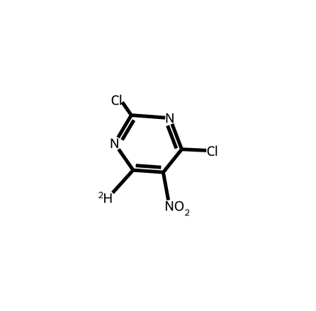 [2H]c1nc(Cl)nc(Cl)c1[N+](=O)[O-]